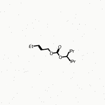 CC/C=C/COC(=O)OC(C(C)C)C(C)C